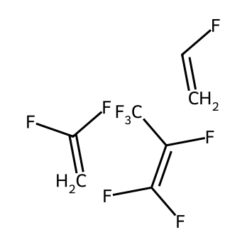 C=C(F)F.C=CF.FC(F)=C(F)C(F)(F)F